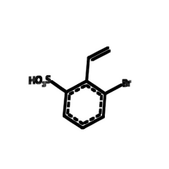 C=Cc1c(Br)cccc1S(=O)(=O)O